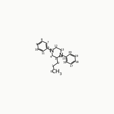 CCCC1CN(c2ccccc2)CCN1c1ccccc1